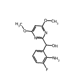 COc1cc(OC)nc(C(O)c2cccc(F)c2N)n1